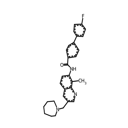 Cc1c(NC(=O)c2ccc(-c3ccc(F)cc3)cc2)ccc2cc(CN3CCCCCC3)cnc12